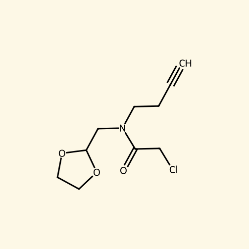 C#CCCN(CC1OCCO1)C(=O)CCl